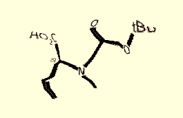 C=C[C@@H](C(=O)O)N(C)C(=O)OC(C)(C)C